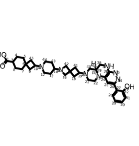 O=C(O)C1CCC2(CC1)CC(N1CCC(N3CC4(CC(N5CCN6c7cc(-c8ccccc8O)nnc7NC[C@H]6C5)C4)C3)CC1)C2